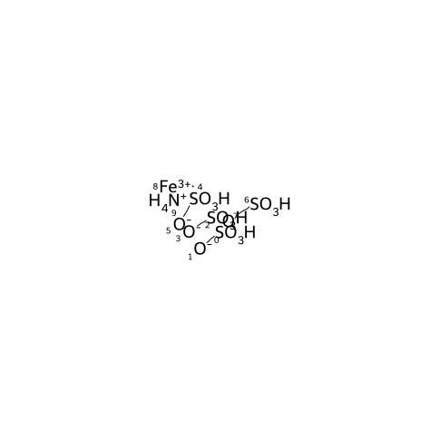 O=S(=O)([O-])O.O=S(=O)([O-])O.O=S(=O)([O-])O.O=S(=O)([O-])O.[Fe+3].[NH4+]